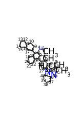 C=Cc1c(/C=C\C)c(-c2ccc3ccccc3c2)c2ccccc2c1C1C=CC(N2C(C(C)(C)C)=NC3C=CCCC32)=CC1